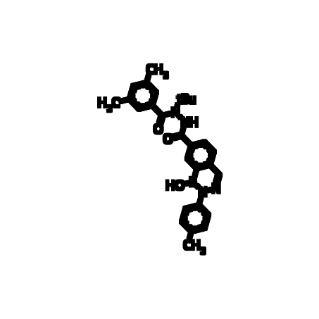 Cc1ccc(N2N=Cc3ccc(C(=O)NN(C(=O)c4cc(C)cc(C)c4)C(C)(C)C)cc3B2O)cc1